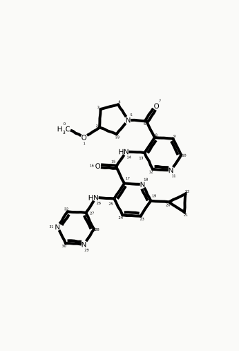 COC1CCN(C(=O)c2ccncc2NC(=O)c2nc(C3CC3)ccc2Nc2cncnc2)C1